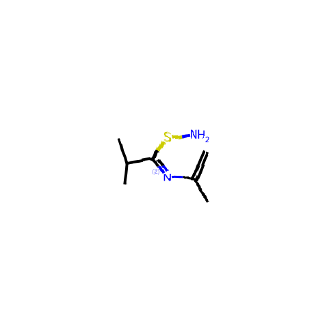 C=C(C)/N=C(\SN)C(C)C